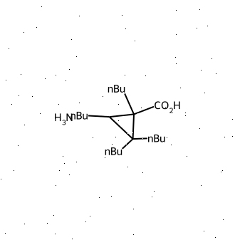 CCCCC1C(CCCC)(CCCC)C1(CCCC)C(=O)O.N